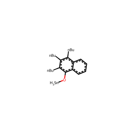 CCCCc1c(CCCC)c([O][SnH3])c2ccccc2c1CCCC